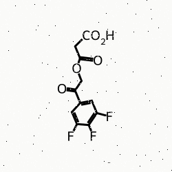 O=C(O)CC(=O)OCC(=O)c1cc(F)c(F)c(F)c1